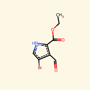 CCOC(=O)c1[nH]cc(Br)c1C=O